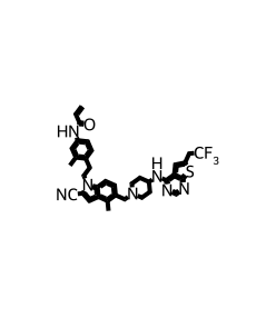 C=CC(=O)Nc1ccc(CCn2c(C#N)cc3c(C)c(CN4CCC(Nc5ncnc6sc(CC(F)(F)F)cc56)CC4)ccc32)c(C)c1